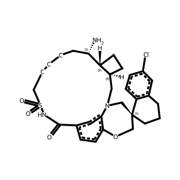 N[C@H]1CCCCCS(=O)(=O)NC(=O)c2ccc3c(c2)N(C[C@@H]2CC[C@H]21)C[C@@]1(CCCc2cc(Cl)ccc21)CO3